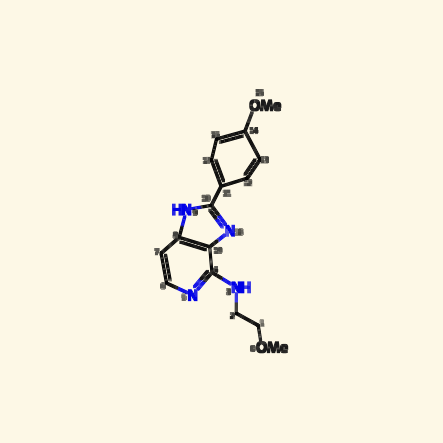 COCCNc1nccc2[nH]c(-c3ccc(OC)cc3)nc12